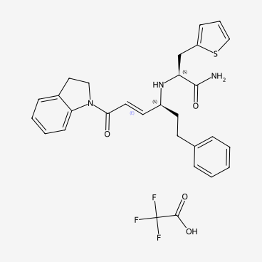 NC(=O)[C@H](Cc1cccs1)N[C@H](/C=C/C(=O)N1CCc2ccccc21)CCc1ccccc1.O=C(O)C(F)(F)F